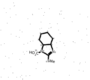 CSC1=NC2CCCCC2N1C(=O)O